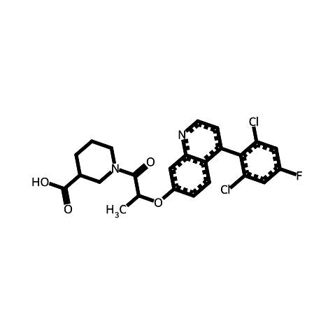 CC(Oc1ccc2c(-c3c(Cl)cc(F)cc3Cl)ccnc2c1)C(=O)N1CCCC(C(=O)O)C1